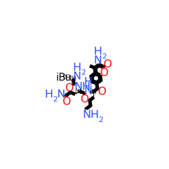 CC[C@H](C)[C@H](N)C(=O)N[C@@H](CCC(N)=O)C(=O)N[C@@H](CCCCN)C(=O)c1ccc2c(C)c(N)c(=O)oc2c1